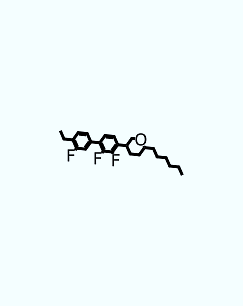 CCCCCCC1CCC(c2ccc(-c3ccc(CC)c(F)c3)c(F)c2F)CO1